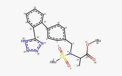 CCCCS(=O)(=O)N(Cc1ccc(-c2ccccc2-c2nnn[nH]2)cc1)C(C)C(=O)OC(C)(C)C